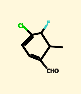 CC1C(C=O)=CC=C(Cl)C1F